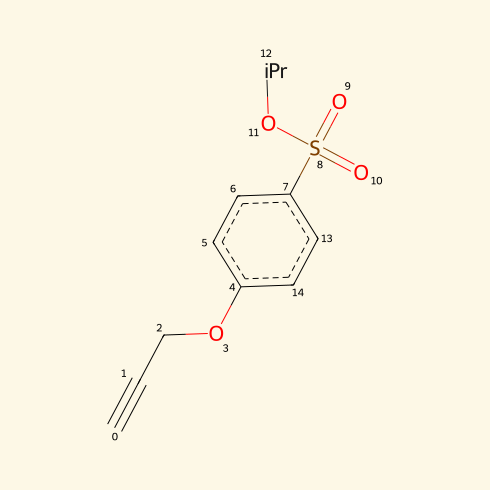 C#CCOc1ccc(S(=O)(=O)OC(C)C)cc1